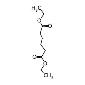 CCOC(=O)C[CH]CCC(=O)OCC